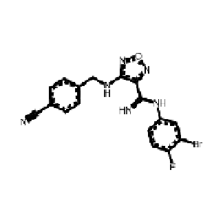 N#Cc1ccc(CNc2nonc2C(=N)Nc2ccc(F)c(Br)c2)cc1